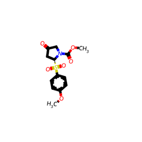 COC(=O)N1CC(=O)C[C@H]1S(=O)(=O)c1ccc(OC)cc1